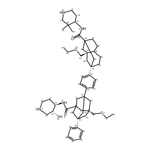 CCOC[C@@]12CC3(C(=O)N[C@@H]4CCNC[C@H]4O)CC(c4ccc([C@@]56CCC7CCC(C(=O)NC8CCNCC8(C)C)(C5)C[C@@]7(COCC)C6)cc4)(C1)C[C@](c1ccccc1)(C3)C2